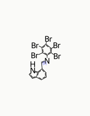 Brc1c(Br)c(Br)c(/N=C/c2cccc3cc[nH]c23)c(Br)c1Br